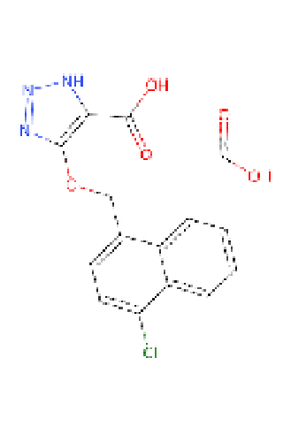 O=C(O)c1[nH]nnc1OCc1ccc(Cl)c2ccccc12.O=CO